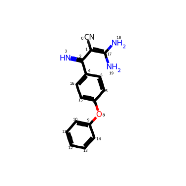 N#CC(C(=N)c1ccc(Oc2ccccc2)cc1)=C(N)N